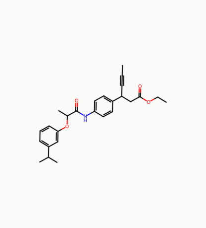 CC#CC(CC(=O)OCC)c1ccc(NC(=O)C(C)Oc2cccc(C(C)C)c2)cc1